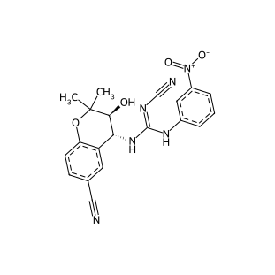 CC1(C)Oc2ccc(C#N)cc2[C@@H](NC(=NC#N)Nc2cccc([N+](=O)[O-])c2)[C@@H]1O